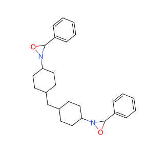 c1ccc(C2ON2C2CCC(CC3CCC(N4OC4c4ccccc4)CC3)CC2)cc1